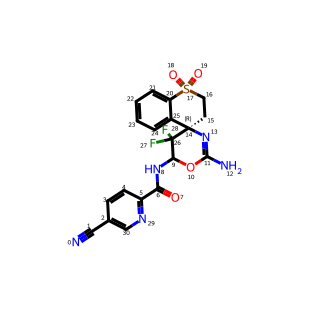 N#Cc1ccc(C(=O)NC2OC(N)=N[C@@]3(CCS(=O)(=O)c4ccccc43)C2(F)F)nc1